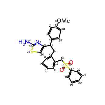 COc1ccc(C(Cc2ccccc2CS(=O)(=O)c2ccccc2)c2csc(N)n2)cc1